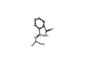 CC(O)/N=C1\NC(=O)c2ccccc21